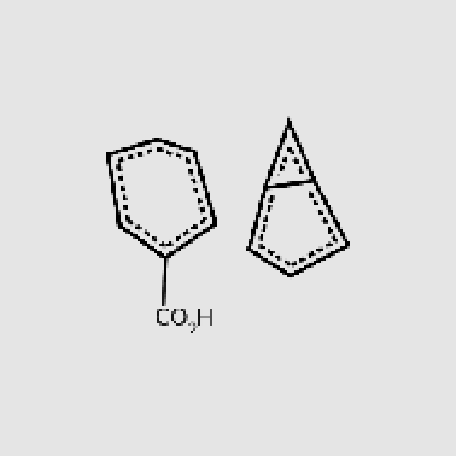 O=C(O)c1ccccc1.c1cc2cc-2c1